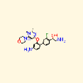 C=N/C(=C\C(=N/CC)Oc1cc(N)ccc1-c1ccc(C(O)CN)c(F)c1)N1CCOCC1